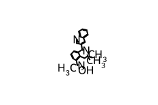 CC(=NO)c1cccc2c1CC(C)(C)N=C2c1cnc2ccccc2c1